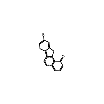 O=C1C=CC=c2ccc3c(c21)CC1=CC(Br)=CCC=31